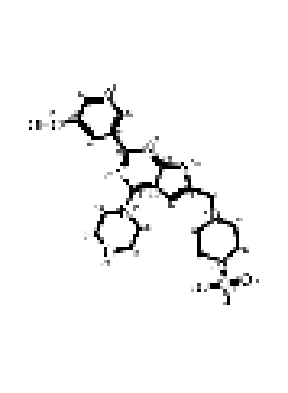 CS(=O)(=O)N1CCN(Cc2cc3c(N4CCOCC4)nc(-c4cncc(C=O)c4)nc3s2)CC1